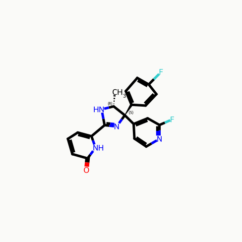 C[C@H]1NC(c2cccc(=O)[nH]2)=N[C@@]1(c1ccc(F)cc1)c1ccnc(F)c1